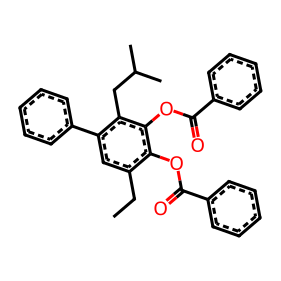 CCc1cc(-c2ccccc2)c(CC(C)C)c(OC(=O)c2ccccc2)c1OC(=O)c1ccccc1